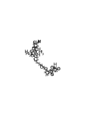 CC1(C)C(NC(=O)c2ccc(CCCCOCCOc3cccc4c3CN(C3CCC(=O)NC3=O)C4=O)cc2)C(C)(C)C1Oc1ccc(C#N)c(Cl)c1